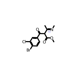 C/N=C(\C)C(C(=O)OC)C(=O)c1ccc(Br)c(Cl)c1